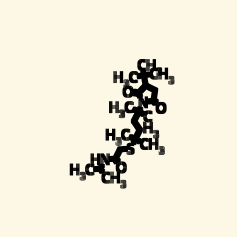 CC(C)NC(=O)CSC(C)(C)CCC(C)(C)N1C(=O)CC(C(C)(C)C)C1=O